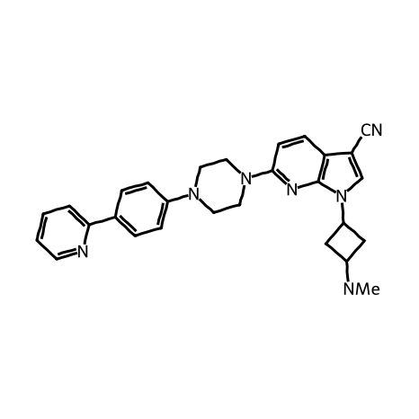 CNC1CC(n2cc(C#N)c3ccc(N4CCN(c5ccc(-c6ccccn6)cc5)CC4)nc32)C1